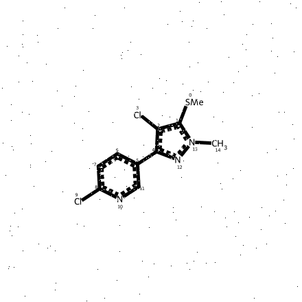 CSc1c(Cl)c(-c2ccc(Cl)nc2)nn1C